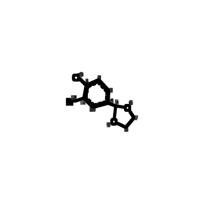 Clc1ccc(C2OCCO2)cc1Br